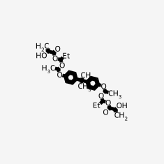 C=C(O)C(=O)OC(CC)OC(C)Oc1ccc(C(C)(C)c2ccc(OC(C)OC(CC)OC(=O)C(=C)O)cc2)cc1